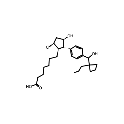 CCCC1(C(O)c2ccc([C@@H]3[C@@H](CCCCCCC(=O)O)[C@@H](Cl)C[C@H]3O)cc2)CCC1